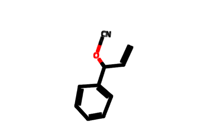 C=CC(OC#N)c1ccccc1